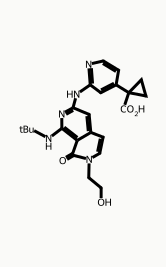 CC(C)(C)Nc1nc(Nc2cc(C3(C(=O)O)CC3)ccn2)cc2ccn(CCO)c(=O)c12